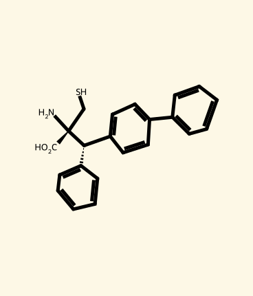 N[C@@](CS)(C(=O)O)[C@@H](c1ccccc1)c1ccc(-c2ccccc2)cc1